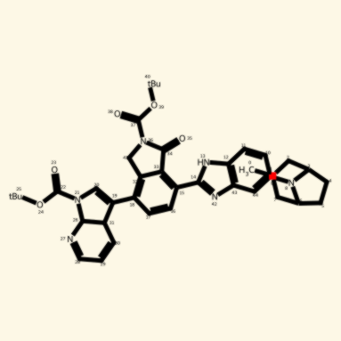 CN1CC2CCC(C1)N2c1ccc2[nH]c(-c3ccc(C4=CN(C(=O)OC(C)(C)C)C5N=CC=CC45)c4c3C(=O)N(C(=O)OC(C)(C)C)C4)nc2c1